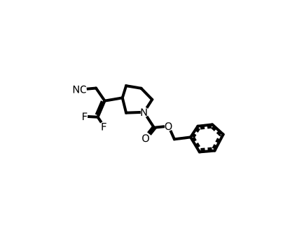 N#CCC(=C(F)F)C1CCCN(C(=O)OCc2ccccc2)C1